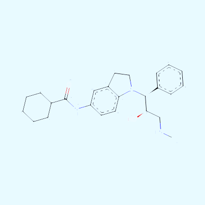 CNC[C@@H](O)[C@H](c1ccccc1)N1CCc2cc(NC(=O)C3CCCCC3)ccc21